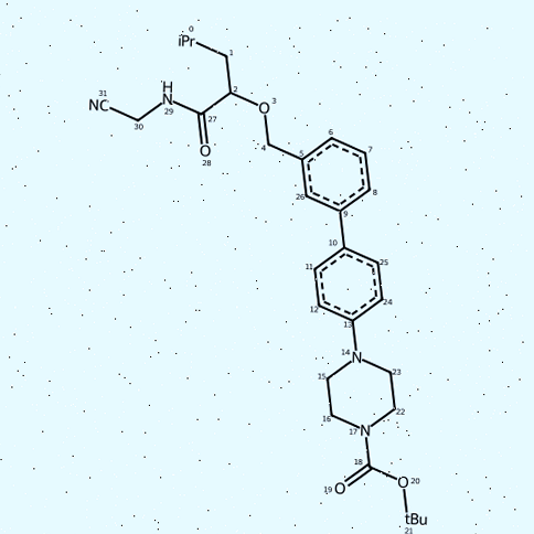 CC(C)CC(OCc1cccc(-c2ccc(N3CCN(C(=O)OC(C)(C)C)CC3)cc2)c1)C(=O)NCC#N